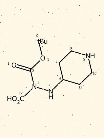 CC(C)(C)OC(=O)N(NC1CCNCC1)C(=O)O